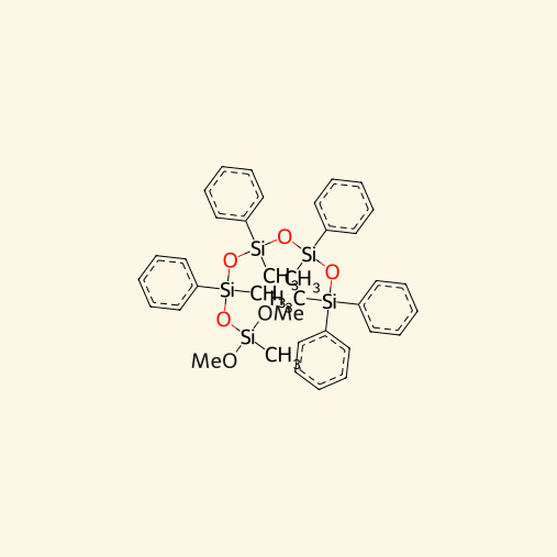 CO[Si](C)(OC)O[Si](C)(O[Si](C)(O[Si](C)(O[Si](C)(c1ccccc1)c1ccccc1)c1ccccc1)c1ccccc1)c1ccccc1